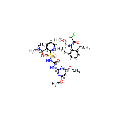 CCc1cccc(CC)c1N(COC)C(=O)CCl.COc1cc(OC)nc(NC(=O)NS(=O)(=O)c2ncccc2C(=O)N(C)C)n1